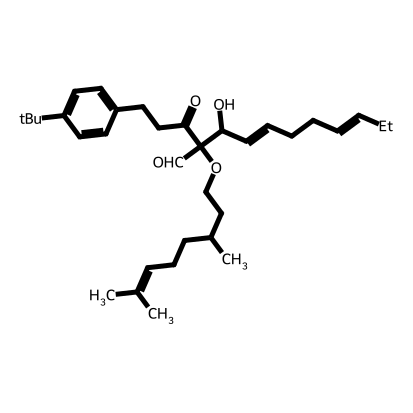 CCC=CCCC=CC(O)C(C=O)(OCCC(C)CCC=C(C)C)C(=O)CCc1ccc(C(C)(C)C)cc1